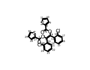 O=C(OC(=C(OC(=O)c1cccs1)c1ccccc1Cl)c1ccccc1Cl)c1cccs1